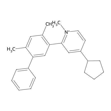 Cc1cc(C)c(-c2cc(C3CCCC3)cc[n+]2C)cc1-c1ccccc1